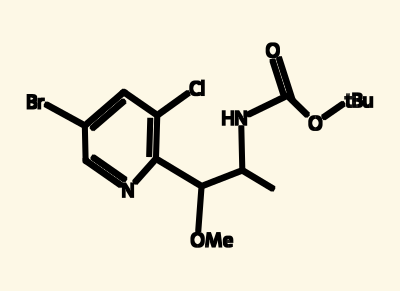 COC(c1ncc(Br)cc1Cl)C(C)NC(=O)OC(C)(C)C